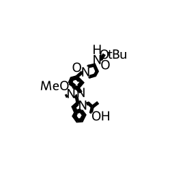 COc1cc(C(=O)N2CCC[C@@H](NC(=O)OC(C)(C)C)C2)cc2nc(-c3cc4ccccc4n3CC(C)CO)n(C)c12